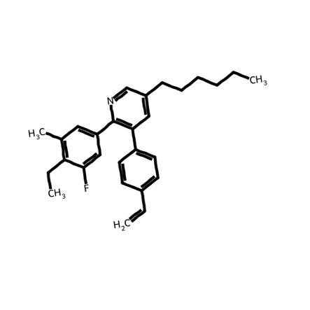 C=Cc1ccc(-c2cc(CCCCCC)cnc2-c2cc(C)c(CC)c(F)c2)cc1